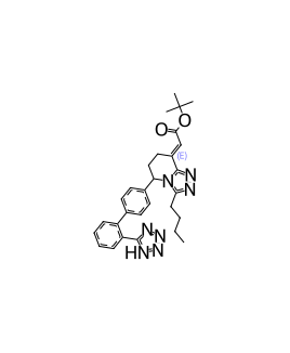 CCCCc1nnc2n1C(c1ccc(-c3ccccc3-c3nnn[nH]3)cc1)CC/C2=C\C(=O)OC(C)(C)C